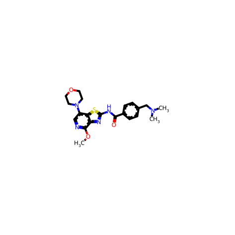 COc1ncc(N2CCOCC2)c2sc(NC(=O)c3ccc(CN(C)C)cc3)nc12